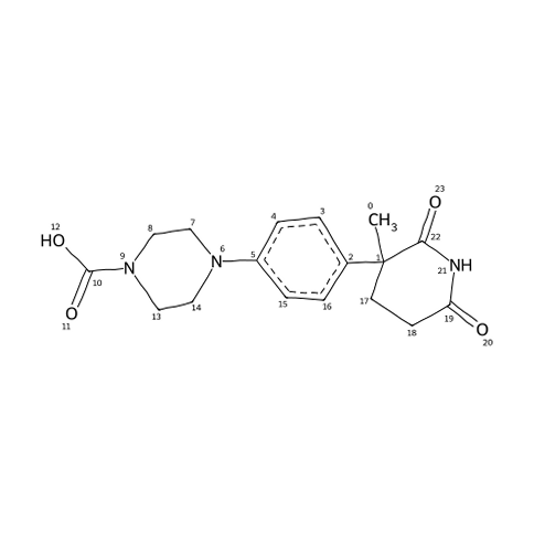 CC1(c2ccc(N3CCN(C(=O)O)CC3)cc2)CCC(=O)NC1=O